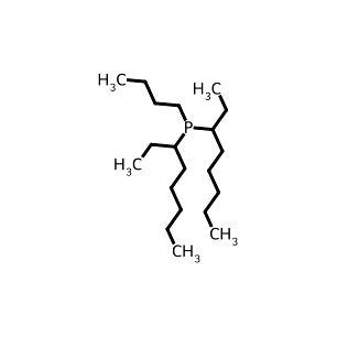 CCCCCC(CC)P(CCCC)C(CC)CCCCC